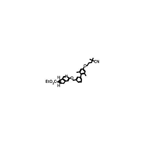 CCOC(=O)[C@H]1[C@@H]2Cc3cc(OCc4cccc(-c5c(C)cc(OCCCC(C)(C)C#N)cc5C)c4)ncc3[C@@H]21